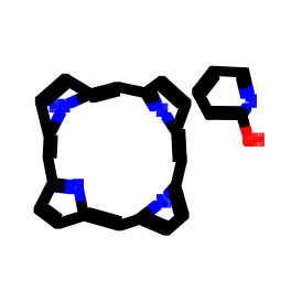 C1=Cc2cc3ccc(cc4nc(cc5ccc(cc1n2)[nH]5)C=C4)[nH]3.Oc1ccccn1